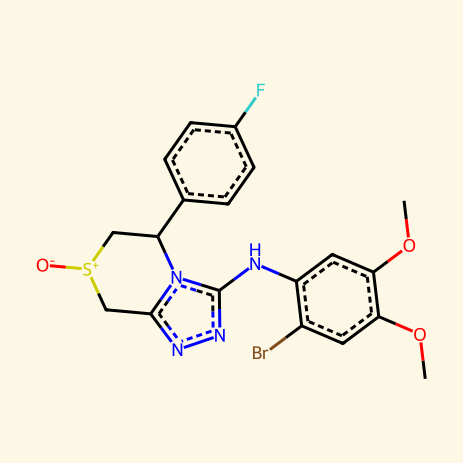 COc1cc(Br)c(Nc2nnc3n2C(c2ccc(F)cc2)C[S+]([O-])C3)cc1OC